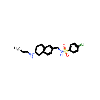 CCCN[C@@H]1CCc2cc(CNS(=O)(=O)c3ccc(Cl)cc3)ccc2C1